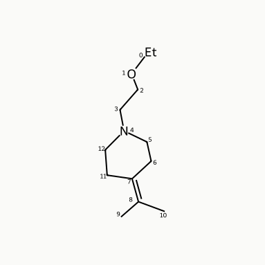 CCOCCN1CCC(=C(C)C)CC1